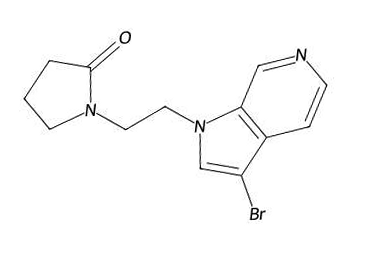 O=C1CCCN1CCn1cc(Br)c2ccncc21